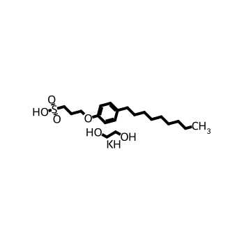 CCCCCCCCCc1ccc(OCCCS(=O)(=O)O)cc1.OCCO.[KH]